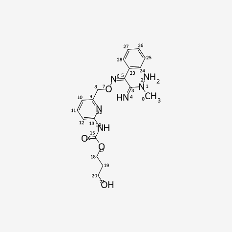 CN(N)C(=N)/C(=N\OCc1cccc(NC(=O)OCCCO)n1)c1ccccc1